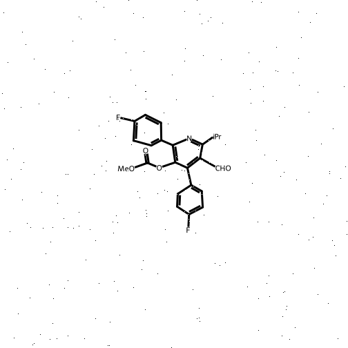 COC(=O)Oc1c(-c2ccc(F)cc2)nc(C(C)C)c(C=O)c1-c1ccc(F)cc1